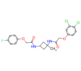 CC1(NC(=O)COc2ccc(Cl)c(Cl)c2)CC(NC(=O)COc2ccc(F)cc2)C1